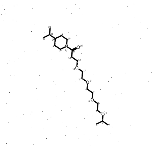 CC(C)OCCOCCOCCOCCC(=O)N1CCC(C(C)C)CC1